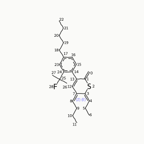 C=C1SC(=C/CC)/C(=C\CCC)C=C1c1ccc(CCCCC)cc1C(C)(C)F